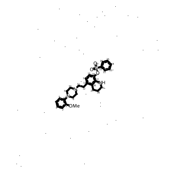 COc1ccccc1N1CCN(CCc2ccc(OS(=O)(=O)c3ccccc3)c3c2CCCN3)CC1